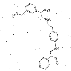 O=NCc1cccc(C(CNCCc2ccc(NCC(N=O)c3ccccc3)cc2)N=O)c1